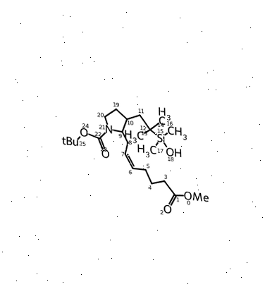 COC(=O)CCC/C=C\CC1C(CC(C)(C)[Si](C)(C)O)CCN1C(=O)OC(C)(C)C